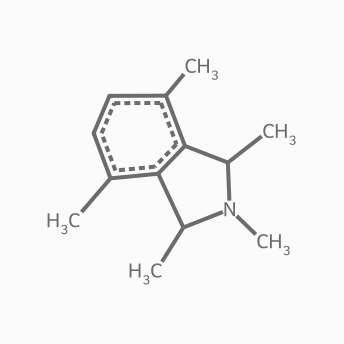 Cc1ccc(C)c2c1C(C)N(C)C2C